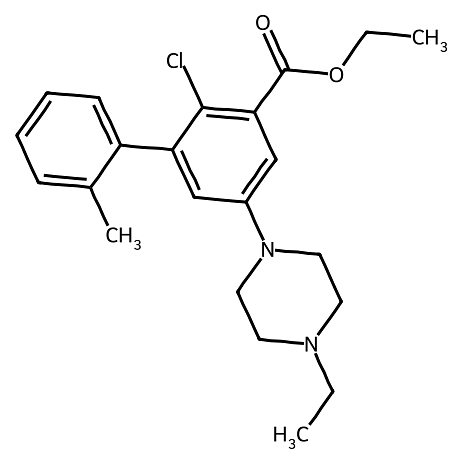 CCOC(=O)c1cc(N2CCN(CC)CC2)cc(-c2ccccc2C)c1Cl